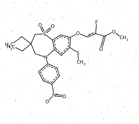 CCC1(CC)CN(c2ccc([N+](=O)[O-])cc2)c2cc(SC)c(O/C=C(\F)C(=O)OC)cc2S(=O)(=O)C1